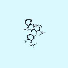 CSc1ccccc1NC(=O)[C@H]1C(=O)N(C)C[C@@H]1c1ccc(F)c(OC(C)C)c1